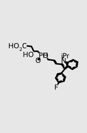 CC(C)n1c(C=CCO[PH](=O)CC(O)CC(=O)O)c(-c2ccc(F)cc2)c2ccccc21